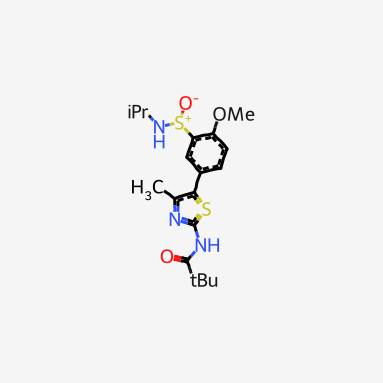 COc1ccc(-c2sc(NC(=O)C(C)(C)C)nc2C)cc1[S+]([O-])NC(C)C